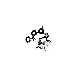 COC(=O)c1cnn(-c2cc(C)cc(-c3cccc(C(=O)N4CCCCC4)c3)c2)c1C1CP1/C(N)=C/N(C)N